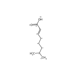 CC(C)CCC/C=C/C(=O)O